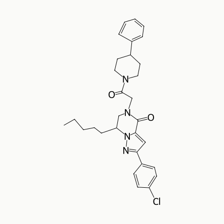 CCCCCC1CN(CC(=O)N2CCC(c3ccccc3)CC2)C(=O)c2cc(-c3ccc(Cl)cc3)nn21